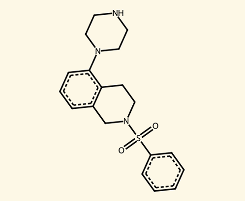 O=S(=O)(c1ccccc1)N1CCc2c(cccc2N2CCNCC2)C1